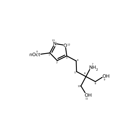 CCCCCCCCc1cc(CCC(N)(CO)CO)on1